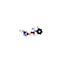 CC(C)N(C(=O)COc1nnc(C(F)(F)F)s1)c1ccccc1F